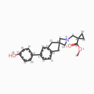 COC(=O)C1(CN2CC3(Cc4ccc(-c5ccc(O)cc5)cc4C3)C2)CC1